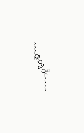 CCCCCCCCCOc1ccc(C(=O)Oc2ccc(-c3ncc(CCCCCCC)cn3)cc2)cc1Cl